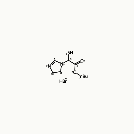 Br.CCCCOC(=O)C(S)N1C=NCC1